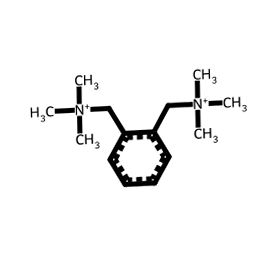 C[N+](C)(C)Cc1ccccc1C[N+](C)(C)C